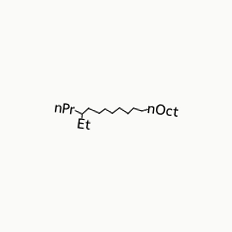 [CH2]CCC(CC)CCCCCCCCCCCCCCCC